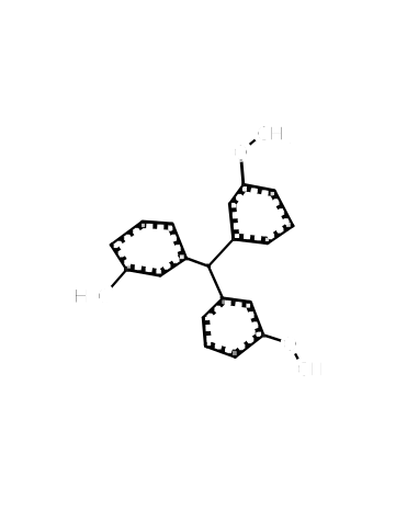 COc1cccc(C(c2cccc(C)c2)c2cccc(OC)c2)c1